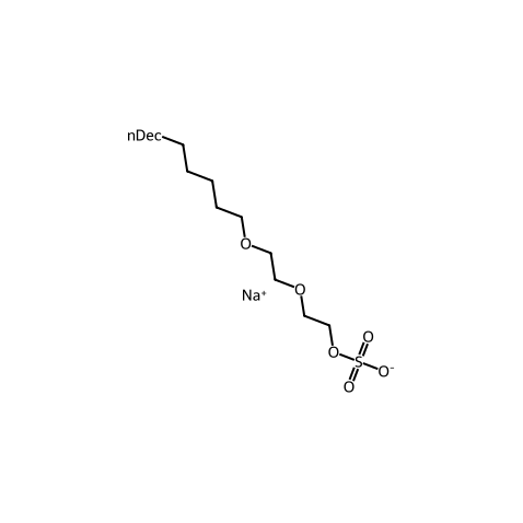 CCCCCCCCCCCCCCCOCCOCCOS(=O)(=O)[O-].[Na+]